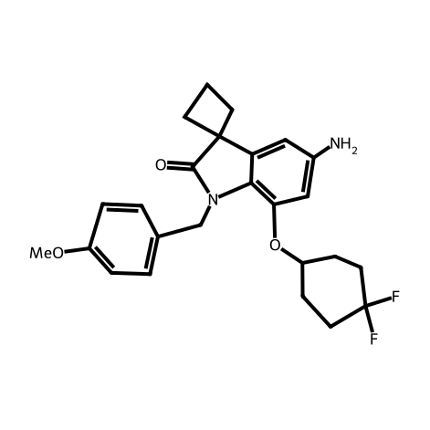 COc1ccc(CN2C(=O)C3(CCC3)c3cc(N)cc(OC4CCC(F)(F)CC4)c32)cc1